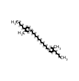 CCCCCc1cc[n+](CCCCCCCCCCCC[n+]2ccc(CCCCC)c(C)c2)cc1C